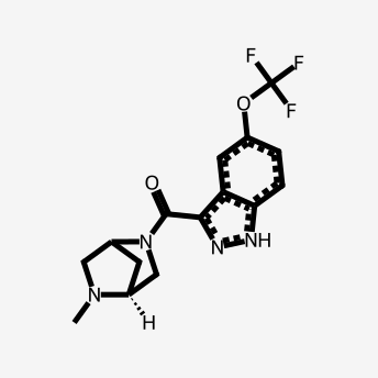 CN1CC2C[C@H]1CN2C(=O)c1n[nH]c2ccc(OC(F)(F)F)cc12